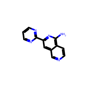 Nc1nc(-c2ncccn2)cc2cnccc12